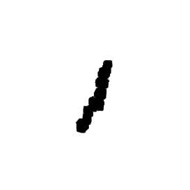 COc1ccc(N2CCN(c3ccc(-n4cnn(CCN(C)CCOc5ccccc5)c4=O)cc3)CC2)cc1